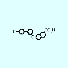 O=C(O)C1CCc2ccc(Oc3cccc(-c4ccc(Cl)cc4)c3)cc2C1